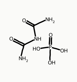 NC(=O)NC(N)=O.O=P(O)(O)O